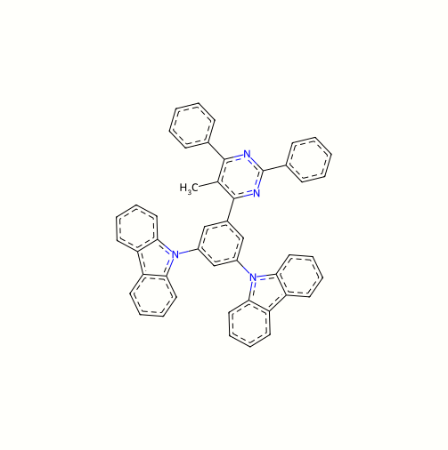 Cc1c(-c2ccccc2)nc(-c2ccccc2)nc1-c1cc(-n2c3ccccc3c3ccccc32)cc(-n2c3ccccc3c3ccccc32)c1